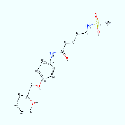 CC(C)(C)S(=O)(=O)NCCCCC(=O)Nc1ccc(OCC2CCCCO2)cc1